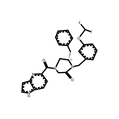 O=C(c1ccc2[nH]ccc2n1)N1CC(=O)N(Cc2cccc(OC(F)F)c2)[C@@H](Cc2ccccc2)C1